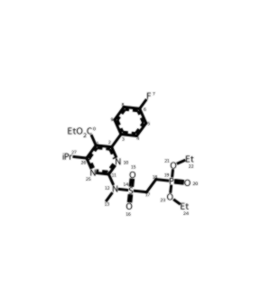 CCOC(=O)c1c(-c2ccc(F)cc2)nc(N(C)S(=O)(=O)CCP(=O)(OCC)OCC)nc1C(C)C